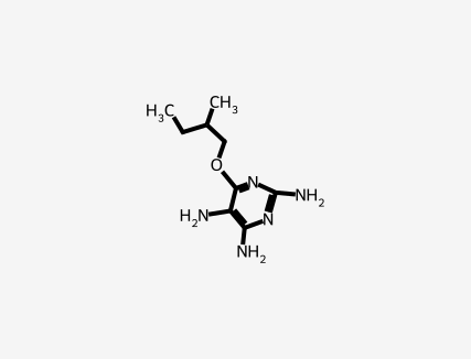 CCC(C)COc1nc(N)nc(N)c1N